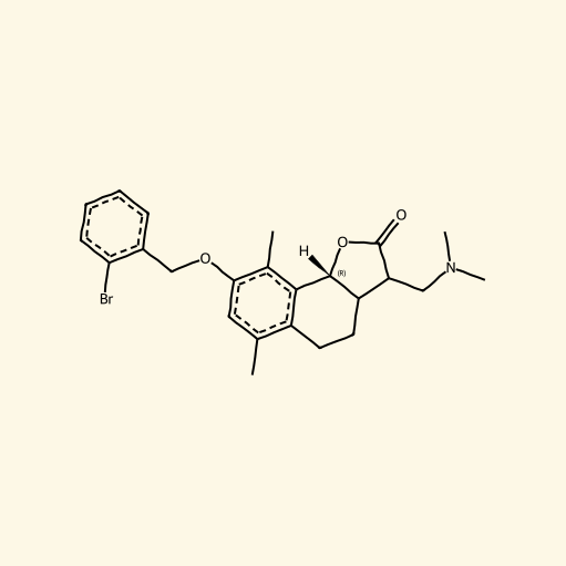 Cc1cc(OCc2ccccc2Br)c(C)c2c1CCC1C(CN(C)C)C(=O)O[C@@H]21